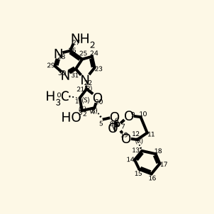 C[C@H]1[C@H](O)[C@@H](COP2(=O)OCC[C@H](c3ccccc3)O2)O[C@H]1n1ccc2c(N)ncnc21